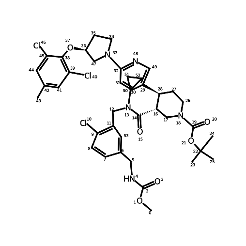 COC(=O)NCc1ccc(Cl)c(CN(C(=O)[C@H]2CN(C(=O)OC(C)(C)C)CC[C@@H]2c2ccc(N3CC[C@H](Oc4c(Cl)cc(C)cc4Cl)C3)nc2)C2CC2)c1